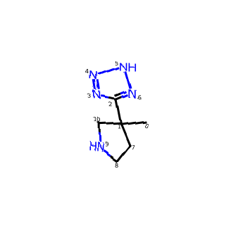 CC1(c2nn[nH]n2)CCNC1